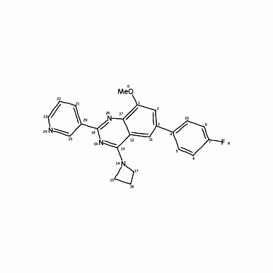 COc1cc(-c2ccc(F)cc2)cc2c(N3CCC3)nc(-c3cccnc3)nc12